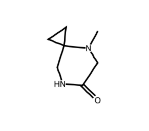 CN1CC(=O)NCC12CC2